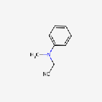 CN(CC#N)c1ccccc1